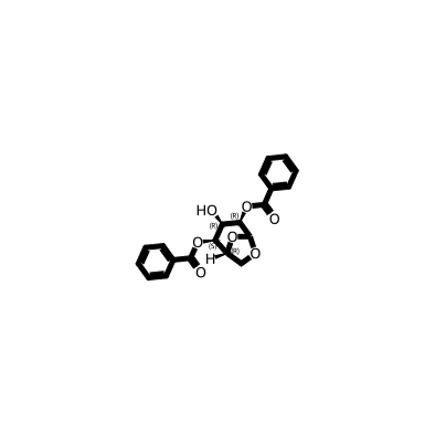 O=C(O[C@H]1[C@@H](O)[C@@H](OC(=O)c2ccccc2)C2OC[C@H]1O2)c1ccccc1